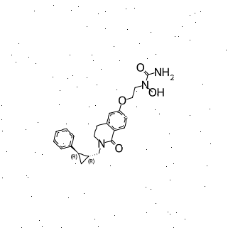 NC(=O)N(O)CCOc1ccc2c(c1)CCN(C[C@@H]1C[C@H]1c1ccccc1)C2=O